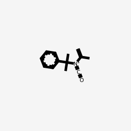 C=C(C)[N+](=C=O)C(C)(C)c1ccccc1